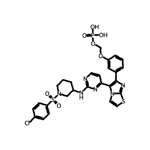 O=P(O)(O)OCOc1cccc(-c2nc3sccn3c2-c2ccnc(NC3CCCN(S(=O)(=O)c4ccc(Cl)cc4)C3)n2)c1